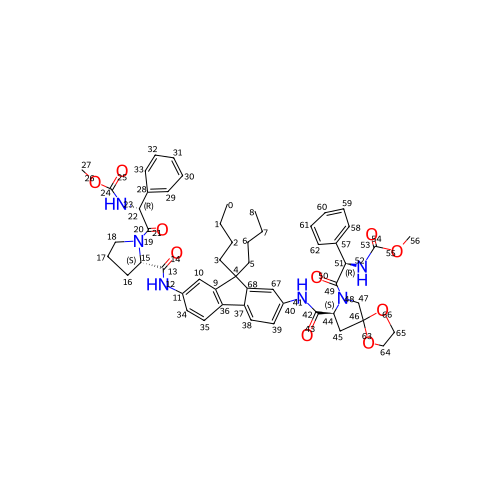 CCCCC1(CCCC)c2cc(NC(=O)[C@@H]3CCCN3C(=O)[C@H](NC(=O)OC)c3ccccc3)ccc2-c2ccc(NC(=O)[C@@H]3CC4(CN3C(=O)[C@H](NC(=O)OC)c3ccccc3)OCCO4)cc21